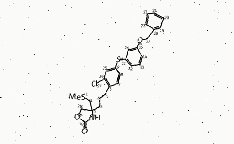 CSCC1(CCCc2ccc(Sc3cccc(OCc4ccccc4)c3)cc2Cl)COC(=O)N1